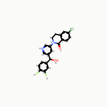 O=C1c2ccc(Cl)cc2CCN1c1cncc(C(O)c2ccc(F)c(F)c2)c1